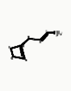 [CH2]C=CCC1=CCC1